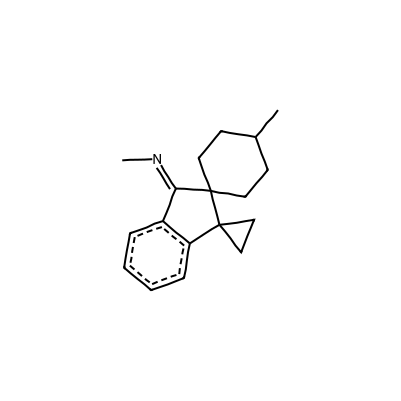 C/N=C1\c2ccccc2C2(CC2)C12CCC(C)CC2